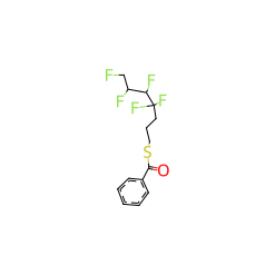 O=C(SCCCC(F)(F)C(F)C(F)CF)c1ccccc1